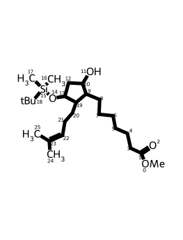 COC(=O)CCCCCCC1C(O)CC(O[Si](C)(C)C(C)(C)C)C1CCC=C(C)C